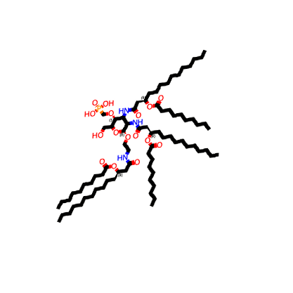 CCCCCCCCCCC[C@H](CC(=O)NCCO[C@@H]1OC(CO)[C@@H](OCP(=O)(O)O)C(NC(=O)C[C@@H](CCCCCCCCCCC)OC(=O)CCCCCCCCC)C1NC(=O)C[C@@H](CCCCCCCCCCC)OC(=O)CCCCCCCCC)OC(=O)CCCCCCCCC